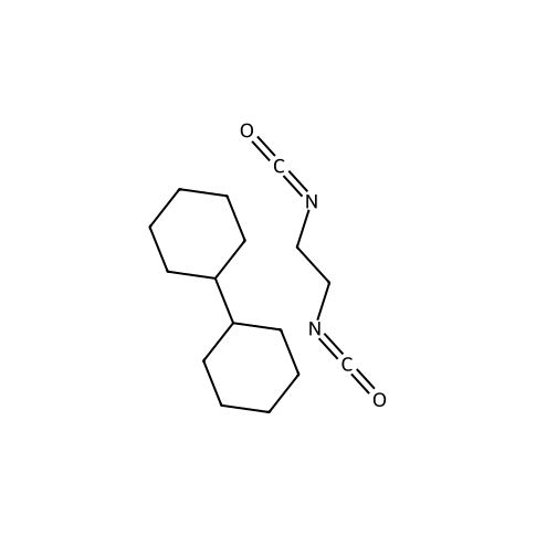 C1CCC(C2CCCCC2)CC1.O=C=NCCN=C=O